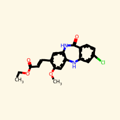 CCOC(=O)/C=C/c1cc2c(cc1OC)Nc1cc(Cl)ccc1C(=O)N2